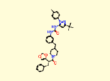 Cc1ccc(-n2nc(C(C)(C)C)cc2NC(=O)Nc2cccc(CC3CCN(C(=O)C(Cc4ccccc4)C4=COCO4)CC3)c2)cc1